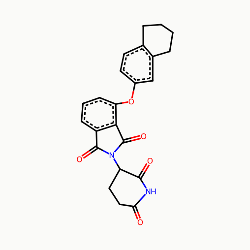 O=C1CCC(N2C(=O)c3cccc(Oc4ccc5c(c4)CCCC5)c3C2=O)C(=O)N1